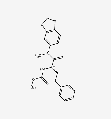 CN(C(=O)[C@@H](CCc1ccccc1)NC(=O)OC(C)(C)C)c1ccc2c(c1)OCO2